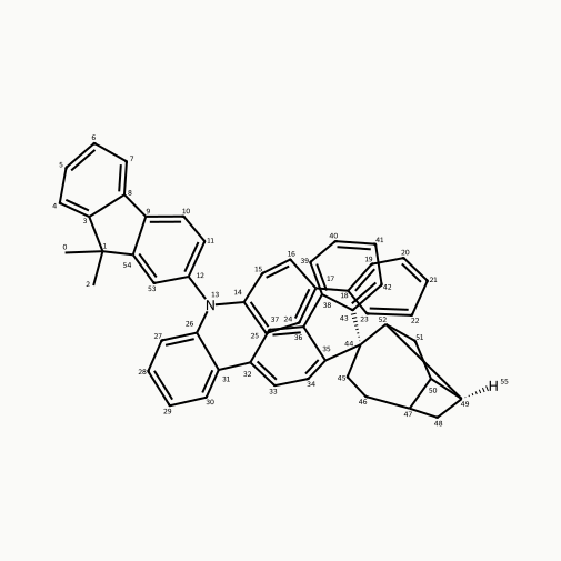 CC1(C)c2ccccc2-c2ccc(N(c3ccc(-c4ccccc4)cc3)c3ccccc3-c3ccc4c(c3)-c3ccccc3[C@]43CCC4C[C@H]5C4CC53)cc21